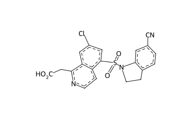 N#Cc1ccc2c(c1)N(S(=O)(=O)c1cc(Cl)cc3c(CC(=O)O)nccc13)CC2